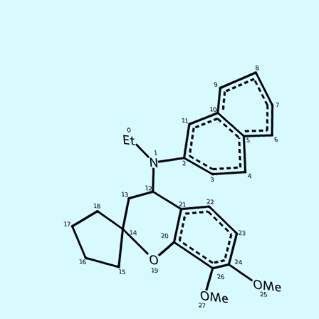 CCN(c1ccc2ccccc2c1)C1CC2(CCCC2)Oc2c1ccc(OC)c2OC